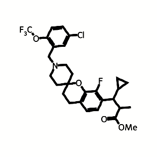 COC(=O)C(C)C(c1ccc2c(c1F)OC1(CC2)CCN(Cc2cc(Cl)ccc2OC(F)(F)F)CC1)C1CC1